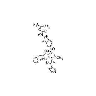 CC(C)CN(C[C@@H](O)[C@H](Cc1ccccc1)NC(=O)OCc1cncs1)S(=O)(=O)c1ccc2nc(NC(=O)OC(C)C)sc2c1